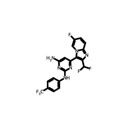 Nc1cc(-c2c(C(F)F)nc3ccc(F)cn23)nc(Nc2ccc(C(F)(F)F)cc2)n1